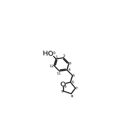 Oc1ccc(CC2CCCO2)cc1